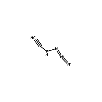 C#CPN=[N+]=[N-]